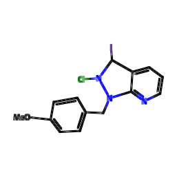 COc1ccc(CN2c3ncccc3C(I)N2Cl)cc1